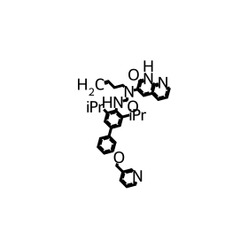 C=CCCN(C(=O)Nc1c(C(C)C)cc(-c2cccc(OCc3cccnc3)c2)cc1C(C)C)c1cc2cccnc2[nH]c1=O